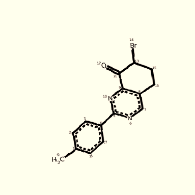 Cc1ccc(-c2ncc3c(n2)C(=O)C(Br)CC3)cc1